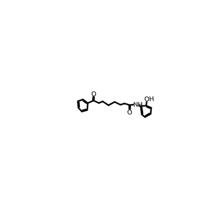 O=C(CCCCCCC(=O)c1ccccc1)Nc1ccccc1O